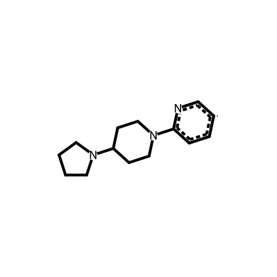 [c]1ccc(N2CCC(N3CCCC3)CC2)nc1